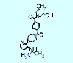 CCCN(CCO)C(=O)c1ccc(C(=O)N2CCN(c3ncccc3NC(C)C)CC2)cc1